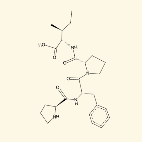 CC[C@H](C)[C@H](NC(=O)[C@@H]1CCCN1C(=O)[C@H](Cc1ccccc1)NC(=O)[C@@H]1CCCN1)C(=O)O